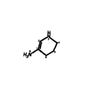 NC1=CNCCC1